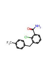 NC(=O)c1cccc(Cc2ccc(C(F)(F)F)cc2)c1Cl